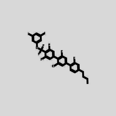 CCCCc1ccc(-c2cc(F)c(-c3cc(F)c(C(F)(F)Oc4cc(I)cc(I)c4)c(F)c3)c(Cl)c2)c(F)c1